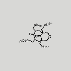 CCCCCCCCCCCC1CC2(CCCCCCCCCCC)COCC(CCCCCCCCCCC)(CC(CCCCCCCCCCC)C1=O)C2=O